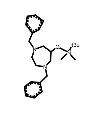 CC(C)(C)[Si](C)(C)OC1CN(Cc2ccccc2)CCN(Cc2ccccc2)C1